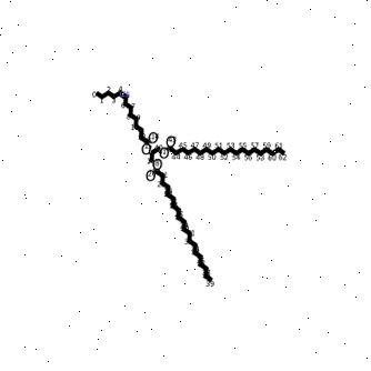 CCCC/C=C\CCCCCCCC(=O)OC(COC(=O)CCCCCCCCCCCCCCCCCCC)COC(=O)CCCCCCCCCCCCCCCCCCC